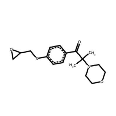 CC(C)(C(=O)c1ccc(SCC2CO2)cc1)N1CCOCC1